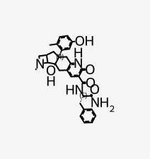 Cc1ccc(O)cc1[C@@]12Cc3[nH]c(=O)c(C(=O)N[C@@H](Cc4ccccc4)C(N)=O)cc3CC1(O)C1C(CN1C)C2